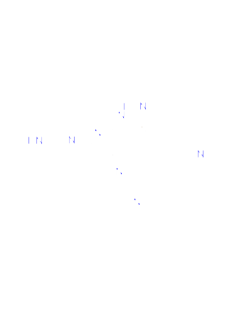 CN1CCN(c2cc(Nc3ncc(-c4ccncc4)s3)nc(N3CCNCC3)c2)CC1